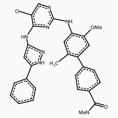 CNC(=O)c1ccc(-c2cc(OC)c(Nc3ncc(Cl)c(Nc4cc(-c5ccccc5)[nH]n4)n3)cc2C)cc1